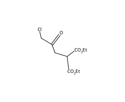 CCOC(=O)C(CC(=O)CCl)C(=O)OCC